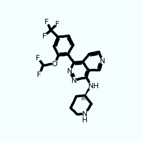 FC(F)Oc1cc(C(F)(F)F)ccc1-c1nnc(N[C@@H]2CCCNC2)c2cnccc12